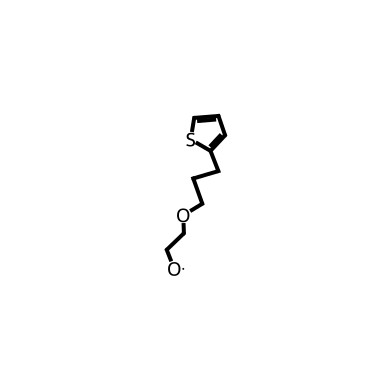 [O]CCOCCCc1cccs1